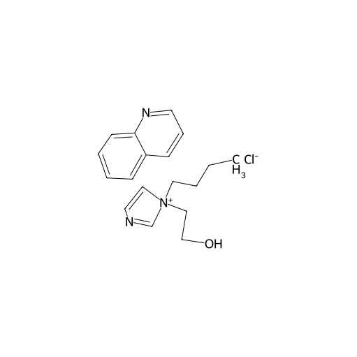 CCCC[N+]1(CCO)C=CN=C1.[Cl-].c1ccc2ncccc2c1